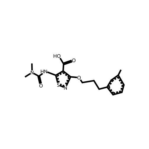 Cc1cccc(CCCOc2nsc(NC(=O)N(C)C)c2C(=O)O)c1